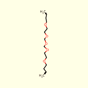 C=CCCOCCOCOCOCCOCCC=C